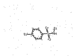 CCNS(=O)(=O)c1ccc(CC)cc1